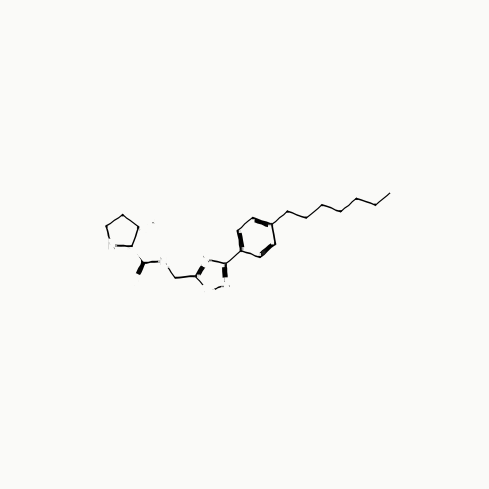 CCCCCCCc1ccc(-c2noc(CNC(=O)[C@H]3NCC[C@@H]3O)n2)cc1